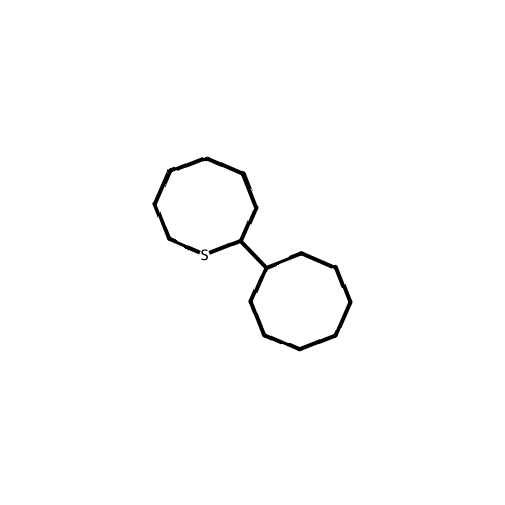 C1CCCC(C2CCCCCCS2)CCC1